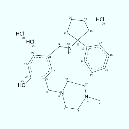 CN1CCN(Cc2cc(CNC3(c4ccccc4)CCCC3)ccc2O)CC1.Cl.Cl.Cl